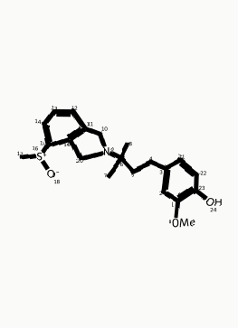 COc1cc(CCC(C)(C)N2Cc3cccc([S+](C)[O-])c3C2)ccc1O